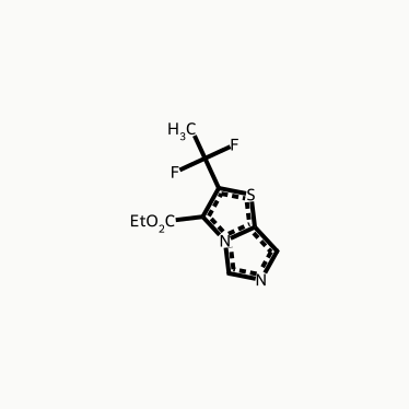 CCOC(=O)c1c(C(C)(F)F)sc2cncn12